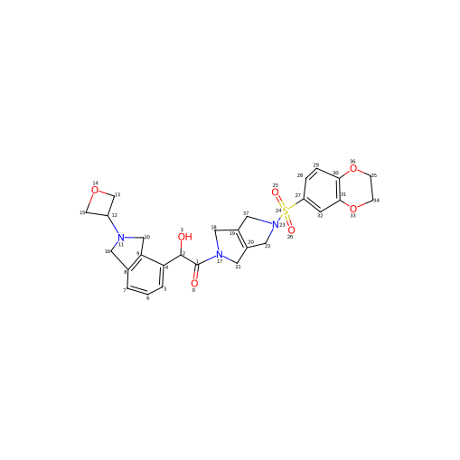 O=C(C(O)c1cccc2c1CN(C1COC1)C2)N1CC2=C(C1)CN(S(=O)(=O)c1ccc3c(c1)OCCO3)C2